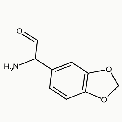 NC(C=O)c1ccc2c(c1)OCO2